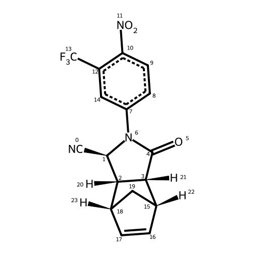 N#C[C@@H]1[C@@H]2[C@H](C(=O)N1c1ccc([N+](=O)[O-])c(C(F)(F)F)c1)[C@@H]1C=C[C@H]2C1